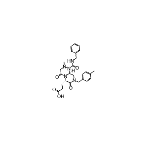 Cc1ccc(CN2C[C@H]3N(C(=O)CN(C)N3C(=O)NCc3ccccc3)[C@@H](CCC(=O)O)C2=O)cc1